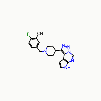 N#Cc1cc(CN2CCC(c3nnn4cnc5[nH]ccc5c34)CC2)ccc1F